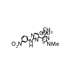 CNc1nc(S(C)(=O)=O)c(-c2ccnc(Nc3cccc([N+](=O)[O-])c3)n2)s1